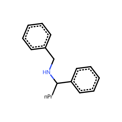 CCCC(NCc1ccccc1)c1ccccc1